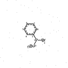 CCCCP(Br)c1ccccc1